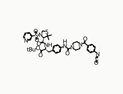 CC(C)(C)OC(=O)[C@H](Cc1ccc(NC(=O)N2CCN(C(=O)c3ccc(N=C=O)cc3)CC2)cc1)NC(=O)[C@H]1N(S(=O)(=O)c2cccnc2)CSC1(C)C